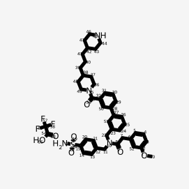 COc1cccc(CC(=O)N(Cc2ccc(S(N)(=O)=O)cc2)Cc2cccc(-c3cccc(C(=O)N4CCC(CCCC5CCNCC5)CC4)c3)c2)c1.O=C(O)C(F)(F)F